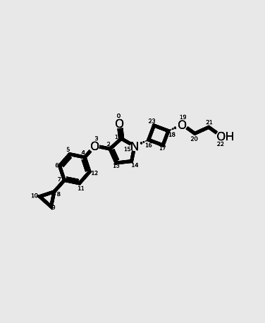 O=C1C(Oc2ccc(C3CC3)cc2)=CCN1[C@H]1C[C@@H](OCCO)C1